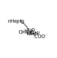 CCCCCCCOCCCCCCNC(=O)NC(CC(=O)[O-])C[N+](C)(C)C.O=CO